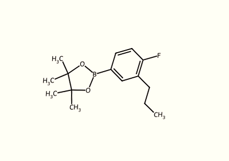 CCCc1cc(B2OC(C)(C)C(C)(C)O2)ccc1F